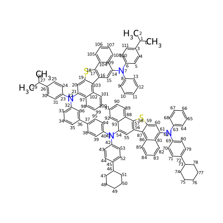 CC(C)c1ccc(N(c2ccccc2)c2cc3c(sc4cc(N(c5ccc(C(C)C)cc5)c5cccc(-c6ccc(N(c7ccc(C8CCCCC8)cc7)c7cc8c(sc9cc(N(c%10ccccc%10)c%10ccc(C%11CCCCC%11)cc%10)c%10ccccc%10c98)c8ccccc78)cc6)c5)c5ccccc5c43)c3ccccc23)cc1